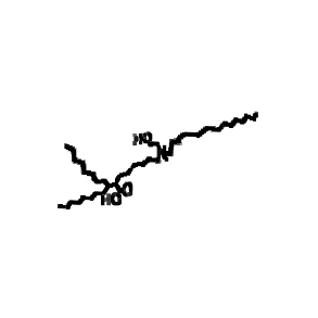 CCCCCCCCCCCCCCN(CCO)CCCCCCC(C(=O)O)C(CCCCCCCC)CCCCCCCC